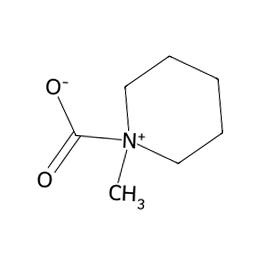 C[N+]1(C(=O)[O-])CCCCC1